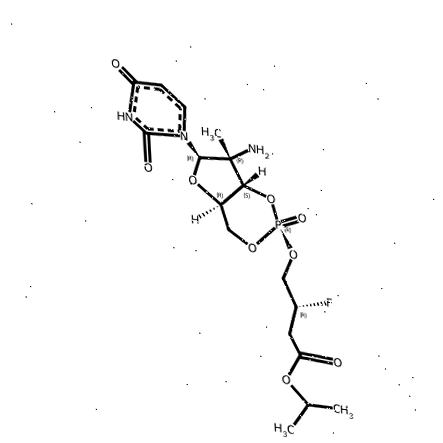 CC(C)OC(=O)C[C@@H](F)CO[P@@]1(=O)OC[C@H]2O[C@@H](n3ccc(=O)[nH]c3=O)[C@](C)(N)[C@@H]2O1